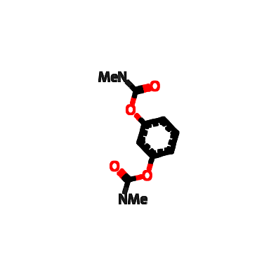 CNC(=O)Oc1cccc(OC(=O)NC)c1